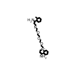 Cc1ccccc1/C(N)=C\C=N\CCOCCOCCOCC[n+]1ccc(N)c2ccccc21